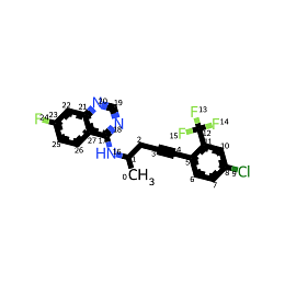 CC(CC#Cc1ccc(Cl)cc1C(F)(F)F)Nc1ncnc2cc(F)ccc12